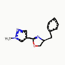 Cn1cc(C2=NC(Cc3ccccc3)CO2)cn1